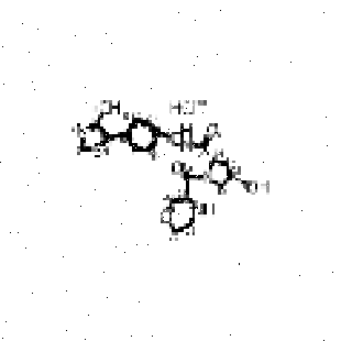 Cc1ncsc1-c1ccc(CNC(=O)[C@@H]2C[C@@H](O)CN2C(=O)[C@@H]2COCCN2)cc1.Cl